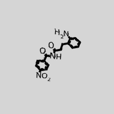 Nc1ccccc1CCC(=O)NC(=O)c1ccc([N+](=O)[O-])cc1